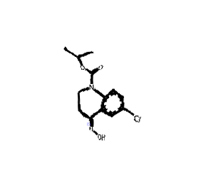 CC(C)OC(=O)N1CC/C(=N/O)c2cc(Cl)ccc21